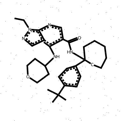 CCn1ncc2c(NC3CCOCC3)c(C(=O)NC3(c4ccc(C(C)(C)C)cc4)CCCCCC3)cnc21